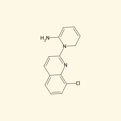 NC1=CC=CCN1c1ccc2cccc(Cl)c2n1